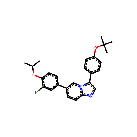 CC(C)Oc1ccc(-c2ccc3ncc(-c4ccc(OC(C)(C)C)cc4)n3c2)cc1F